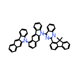 CC1(C)c2ccccc2-c2cccc(-c3nc(-n4c5ccccc5c5cc6c(-n7c8ccccc8c8cc9ccccc9cc87)cccc6cc54)c4ccccc4n3)c21